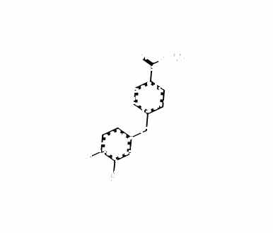 COC(=O)c1ccc(Cc2ccc(F)c(F)c2)cc1